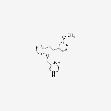 COc1cccc(CCc2ccccc2OCC2=CNCCN2)c1